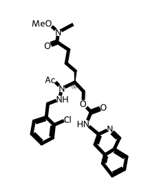 CON(C)C(=O)CCC[C@@H](COC(=O)Nc1cc2ccccc2cn1)N(NCc1ccccc1Cl)C(C)=O